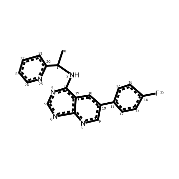 CC(Nc1ncnc2ncc(-c3ccc(F)cc3)cc12)c1ccccn1